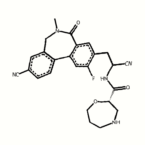 CN1Cc2cc(C#N)ccc2-c2cc(F)c(CC(C#N)NC(=O)[C@@H]3CNCCCO3)cc2C1=O